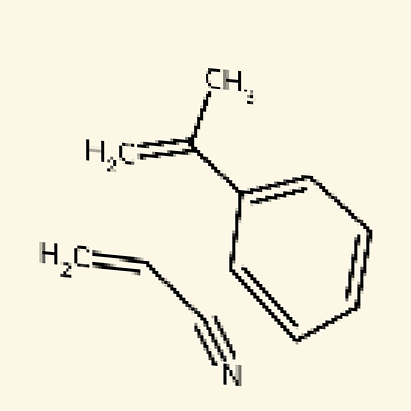 C=C(C)c1ccccc1.C=CC#N